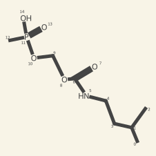 CC(C)CCNC(=O)OCOP(C)(=O)O